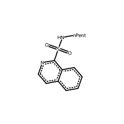 CCCCCNS(=O)(=O)c1nccc2ccccc12